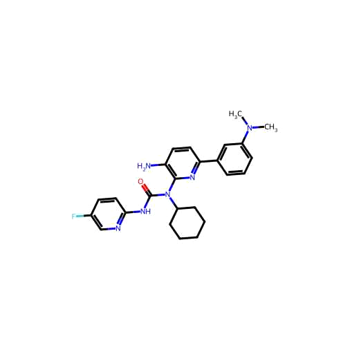 CN(C)c1cccc(-c2ccc(N)c(N(C(=O)Nc3ccc(F)cn3)C3CCCCC3)n2)c1